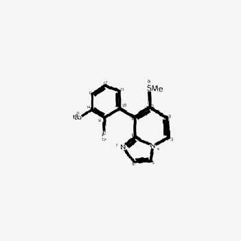 CSc1ccn2ccnc2c1-c1cccc(C(C)(C)C)c1F